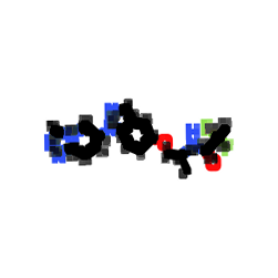 C[C@@H](COc1ccc2c(cnn2-c2ccc3nncn3c2)c1)NC(=O)C(C)(F)F